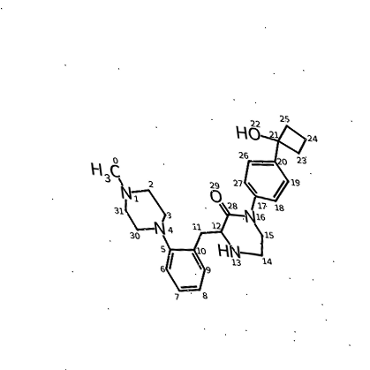 CN1CCN(c2ccccc2CC2NCCN(c3ccc(C4(O)CCC4)cc3)C2=O)CC1